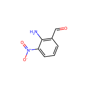 Nc1c(C=O)cccc1[N+](=O)[O-]